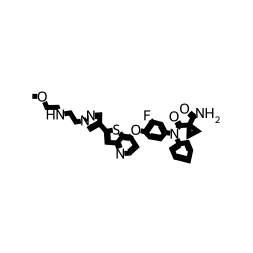 COCCNCCn1cc(-c2cc3nccc(Oc4ccc(N(C(=O)C5(C(N)=O)CC5)c5ccccc5)cc4F)c3s2)cn1